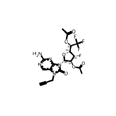 C#CCn1c(=O)n([C@@H]2O[C@H]([C@@H](OC(C)=O)C(F)(F)F)[C@H](F)[C@H]2OC(C)=O)c2nc(N)ncc21